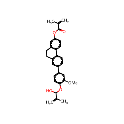 C=C(C)C(=O)Oc1ccc2c(c1)CCc1cc(-c3ccc(OC(O)C(=C)C)c(OC)c3)ccc1-2